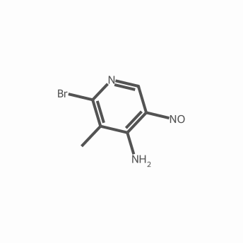 Cc1c(Br)ncc(N=O)c1N